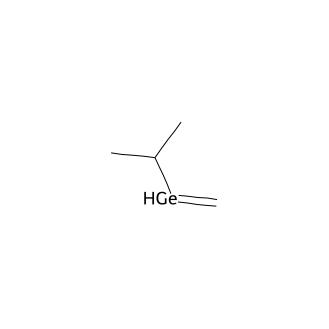 [CH2]=[GeH][CH](C)C